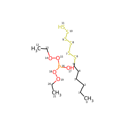 CCCCCCSSSSSS.CCOOP(O)OOCC